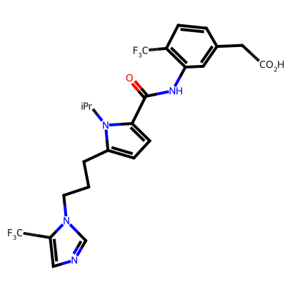 CC(C)n1c(CCCn2cncc2C(F)(F)F)ccc1C(=O)Nc1cc(CC(=O)O)ccc1C(F)(F)F